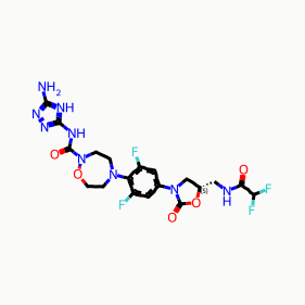 Nc1nnc(NC(=O)N2CCN(c3c(F)cc(N4C[C@H](CNC(=O)C(F)F)OC4=O)cc3F)CCO2)[nH]1